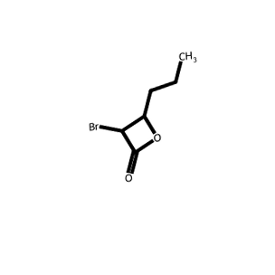 CCCC1OC(=O)C1Br